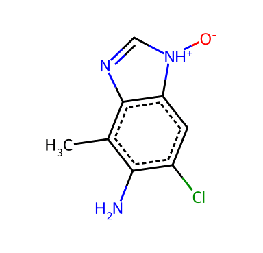 Cc1c(N)c(Cl)cc2c1N=C[NH+]2[O-]